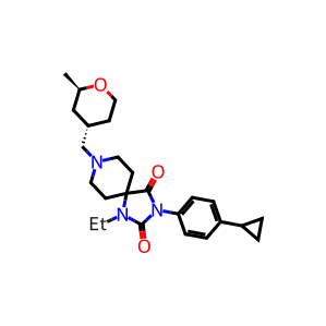 CCN1C(=O)N(c2ccc(C3CC3)cc2)C(=O)C12CCN(C[C@H]1CCO[C@H](C)C1)CC2